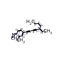 C=C/C=C\C(C#CC#CC(/C=C\C=N\C)=C/C=C)=C/C